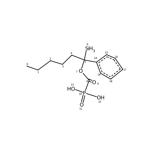 CCCCCC([SiH3])(OC(=O)P(=O)(O)O)c1ccccc1